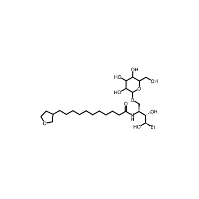 CC[C@@H](O)[C@@H](O)[C@H](COC1OC(CO)C(O)C(O)C1O)NC(=O)CCCCCCCCCCC1CCOC1